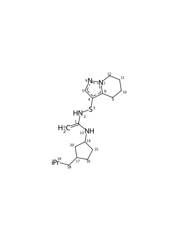 C=C(NSc1cnn2c1CCCC2)NC1CCC(CC(C)C)C1